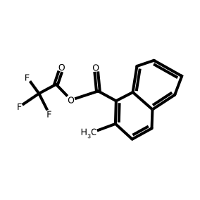 Cc1ccc2ccccc2c1C(=O)OC(=O)C(F)(F)F